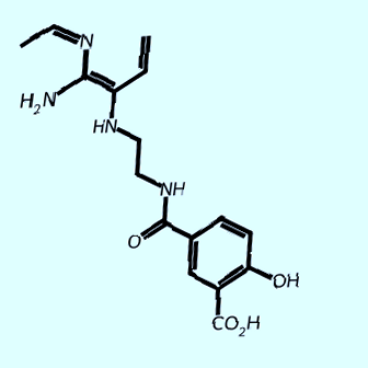 C=C/C(NCCNC(=O)c1ccc(O)c(C(=O)O)c1)=C(N)\N=C/C